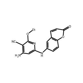 CCOc1nc(Nc2ccc3oc(=O)ccc3c2)cc(N)c1C#N